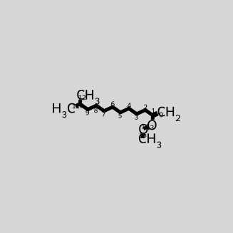 C=C(CCCCCCCCC(C)C)OOC